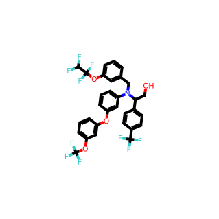 OCC(c1ccc(C(F)(F)F)cc1)N(Cc1cccc(OC(F)(F)C(F)F)c1)c1cccc(Oc2cccc(OC(F)(F)F)c2)c1